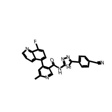 Cc1cc(-c2ccc(F)c3ncccc23)c(C(=O)Nc2nnc(-c3ccc(C#N)cc3)[se]2)cn1